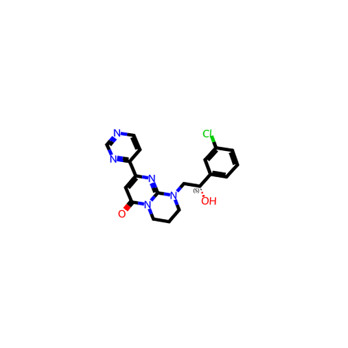 O=c1cc(-c2ccncn2)nc2n1CCCN2C[C@@H](O)c1cccc(Cl)c1